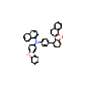 c1ccc2c(N(c3ccc(-c4cccc5oc6c7ccccc7ccc6c45)cc3)c3ccc4oc5ccccc5c4c3)cccc2c1